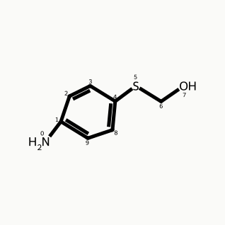 Nc1ccc(SCO)cc1